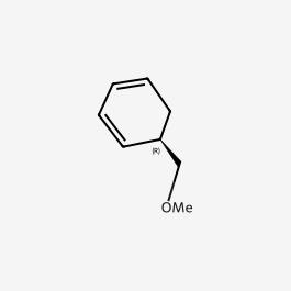 COC[C@H]1C=CC=CC1